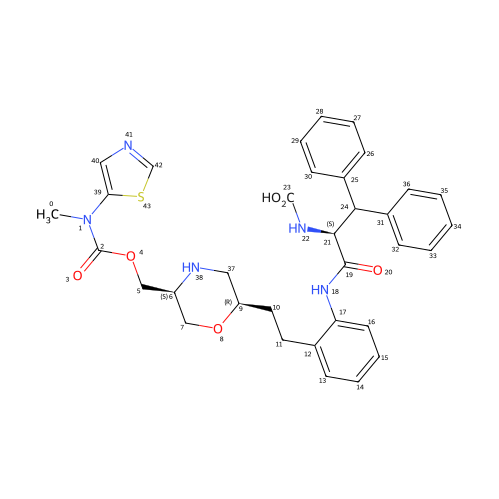 CN(C(=O)OC[C@@H]1CO[C@H](CCc2ccccc2NC(=O)[C@@H](NC(=O)O)C(c2ccccc2)c2ccccc2)CN1)c1cncs1